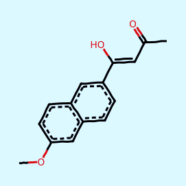 COc1ccc2cc(/C(O)=C/C(C)=O)ccc2c1